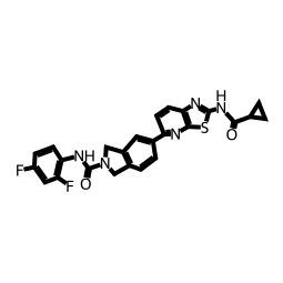 O=C(Nc1nc2ccc(-c3ccc4c(c3)CN(C(=O)Nc3ccc(F)cc3F)C4)nc2s1)C1CC1